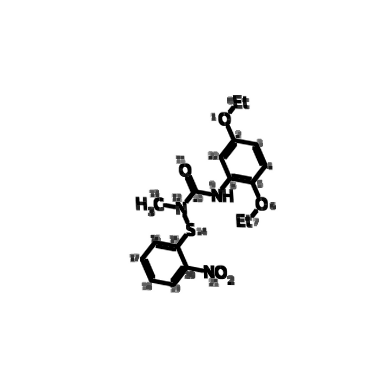 CCOc1ccc(OCC)c(NC(=O)N(C)Sc2ccccc2[N+](=O)[O-])c1